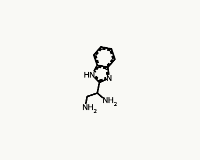 NCC(N)c1nc2ccccc2[nH]1